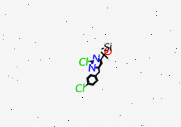 CC(C)(O[Si](C)(C)C)c1cc(Cc2ccc(Cl)cc2)nc(Cl)n1